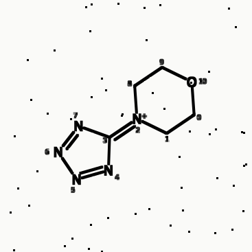 C1C[N+](=C2N=NN=N2)CCO1